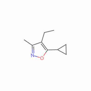 CCc1c(C)noc1C1CC1